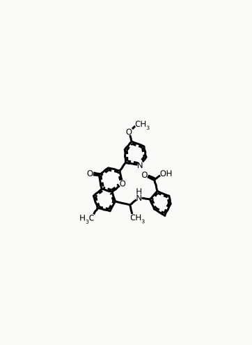 COc1ccnc(-c2cc(=O)c3cc(C)cc(C(C)Nc4ccccc4C(=O)O)c3o2)c1